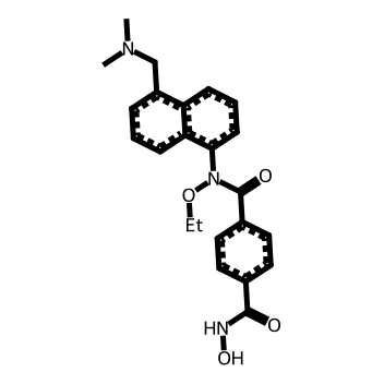 CCON(C(=O)c1ccc(C(=O)NO)cc1)c1cccc2c(CN(C)C)cccc12